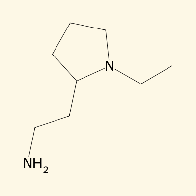 CCN1CCCC1CCN